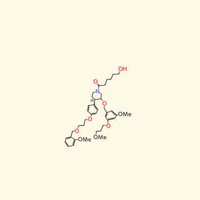 COCCCOc1cc(COC2CN(C(=O)CCCCCO)CC[C@@H]2c2ccc(OCCCOCc3ccccc3OC)cc2)cc(OC)c1